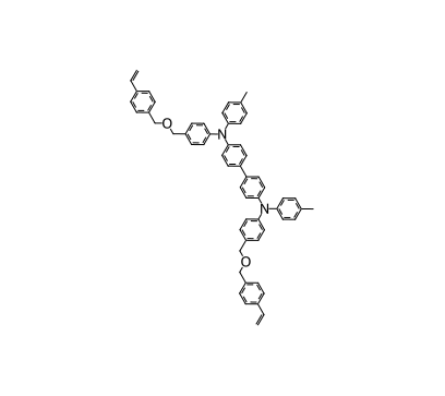 C=Cc1ccc(COCc2ccc(N(c3ccc(C)cc3)c3ccc(-c4ccc(N(c5ccc(C)cc5)c5ccc(COCc6ccc(C=C)cc6)cc5)cc4)cc3)cc2)cc1